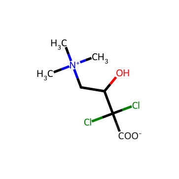 C[N+](C)(C)CC(O)C(Cl)(Cl)C(=O)[O-]